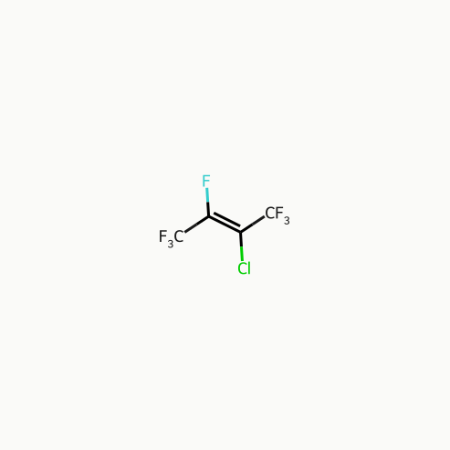 FC(=C(Cl)C(F)(F)F)C(F)(F)F